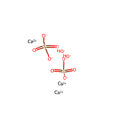 O=S(=O)([O-])[O-].O=S(=O)([O-])[O-].[Ca+2].[Ca+2].[Ca+2].[OH-].[OH-]